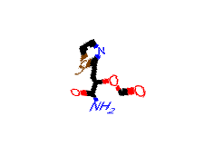 NC(=O)C(OC=O)c1nccs1